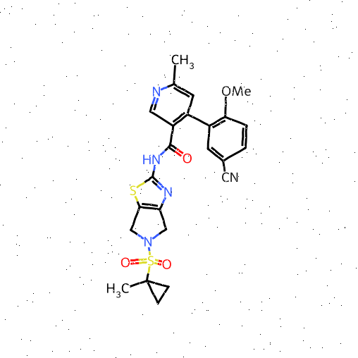 COc1ccc(C#N)cc1-c1cc(C)ncc1C(=O)Nc1nc2c(s1)CN(S(=O)(=O)C1(C)CC1)C2